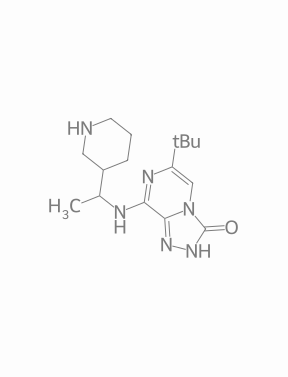 CC(Nc1nc(C(C)(C)C)cn2c(=O)[nH]nc12)C1CCCNC1